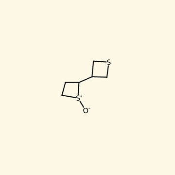 [O-][S+]1CCC1C1CSC1